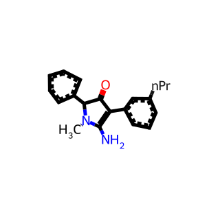 CCCc1cccc(C2=C(N)N(C)C(c3ccccc3)C2=O)c1